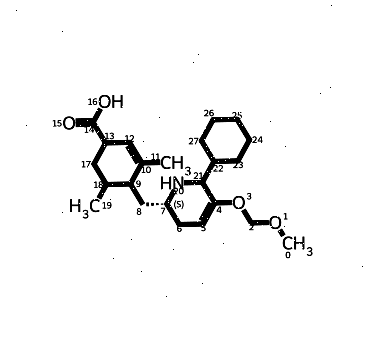 COCOC1=CC[C@H](CC2C(C)=CC(C(=O)O)CC2C)NC1C1CCCCC1